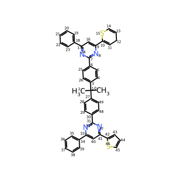 CC(C)(c1ccc(-c2nc(C3=CCC=CS3)cc(-c3ccccc3)n2)cc1)c1ccc(-c2nc(-c3ccccc3)cc(-c3cccs3)n2)cc1